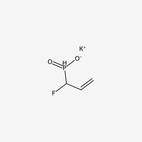 C=CC(F)[PH](=O)[O-].[K+]